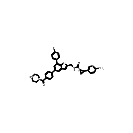 Nc1ccc(C2C[C@H]2C(=O)NCc2cc3cc(-c4ccc(C(=O)N5CCNCC5)cc4)cc(-c4ccc(F)cc4)c3o2)cn1